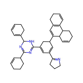 C1=CCCC(C2N=C(C3C=CCCC3)N=C(C3=CC(C4=NCCC4)=CC(C4=CC5=C(C=CCC5)C5CCC=CC45)C3)N2)=C1